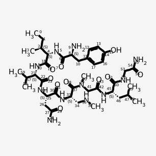 CC[C@H](C)[C@H](NC(=O)[C@@H](N)Cc1ccc(O)cc1)C(=O)N[C@H](C(=O)N[C@@H](CC(N)=O)C(=O)N[C@@H](CNC)C(=O)N(C)CC(=O)N[C@@H](CC(C)C)C(=O)NCC(N)=O)C(C)C